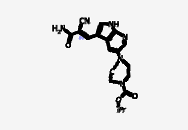 CC(C)OC(=O)N1CCN(c2cnc3[nH]cc(/C=C(\C#N)C(N)=O)c3c2)CC1